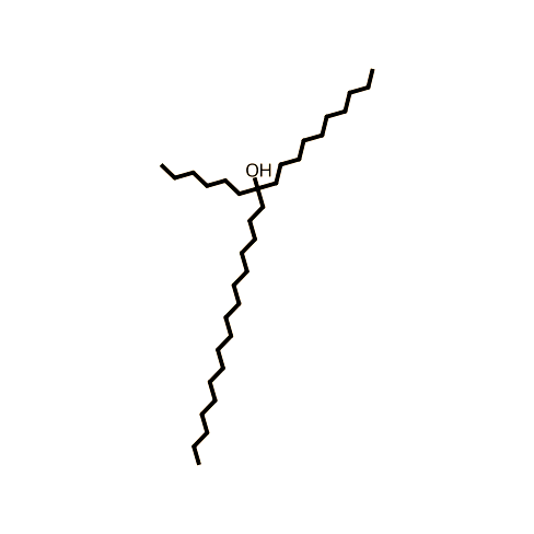 CCCCCCCCCCCCCCCCCC(O)(CCCCCC)CCCCCCCCCC